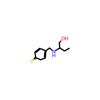 CCC(CO)NCC1=CCC(=S)C=C1